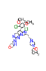 C=CC(=O)N1CCN(CCCc2cn3c(n2)c(-c2c(Cl)c(OC)cc(OC)c2Cl)cc2cnc(NCC4CCOC4)nc23)CC1